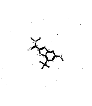 COc1cc(C(C)(C)C)c2oc(C(=O)N(C)C)cc2c1